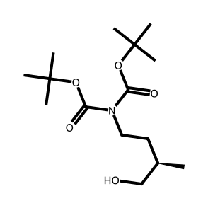 C[C@@H](CO)CCN(C(=O)OC(C)(C)C)C(=O)OC(C)(C)C